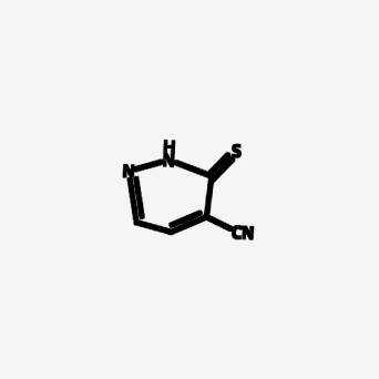 N#Cc1ccn[nH]c1=S